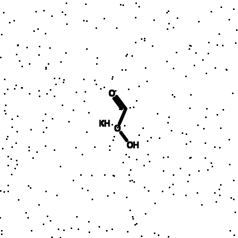 O=COO.[KH]